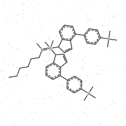 CCCCCC[Si](C)=[Hf]([CH3])([CH3])([CH]1C=Cc2c(-c3ccc([Si](C)(C)C)cc3)cccc21)[CH]1C=Cc2c(-c3ccc([Si](C)(C)C)cc3)cccc21